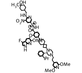 COc1cc(CCN2CCN(C3CC4(CCN(c5ccc(C(=O)NS(=O)(=O)c6cnc(NCC7CCC(C)(O)CC7)c([N+](=O)[O-])c6)c(Oc6cc7c(F)c[nH]c7nc6OC)c5)CC4)C3)[C@H](c3ccccc3C(C)C)C2)cc(OC)n1